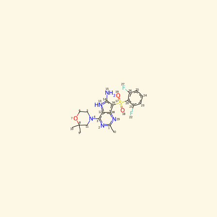 Cc1nc(N2CCOC(C)(C)C2)c2[nH]c(N)c(S(=O)(=O)c3c(F)cccc3F)c2n1